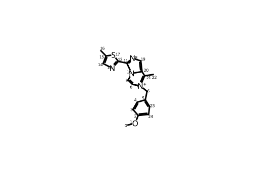 COc1ccc(C[n+]2ccn3c(-c4ncc(C)s4)ncc3c2C)cc1